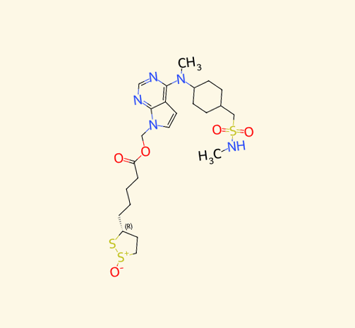 CNS(=O)(=O)CC1CCC(N(C)c2ncnc3c2ccn3COC(=O)CCCC[C@@H]2CC[S+]([O-])S2)CC1